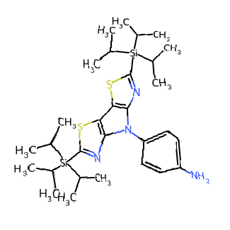 CC(C)[Si](c1nc2c(s1)c1sc([Si](C(C)C)(C(C)C)C(C)C)nc1n2-c1ccc(N)cc1)(C(C)C)C(C)C